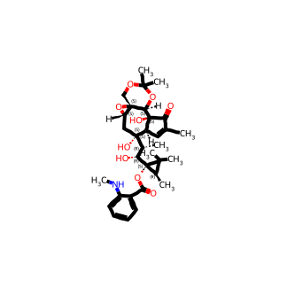 CNc1ccccc1C(=O)O[C@@]1([C@H](O)[C@@H](C)[C@@]2(O)C[C@@H]3O[C@@]34COC(C)(C)O[C@H]4[C@]3(O)C(=O)C(C)=C[C@@H]23)[C@H](C)C1(C)C